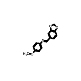 COc1ccc(N=Cc2ccc3c(c2)OCO3)cc1